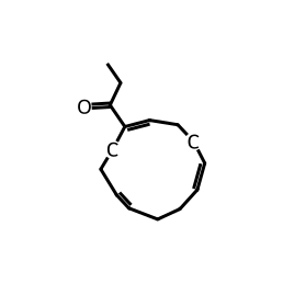 CCC(=O)/C1=C/CC/C=C\CC/C=C\CC1